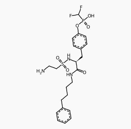 NCCS(=O)(=O)N[C@@H](Cc1ccc(OP(=O)(O)C(F)F)cc1)C(=O)NCCCCc1ccccc1